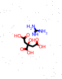 N=C(N)N.O=C(O)CC(O)(CC(=O)O)C(=O)O